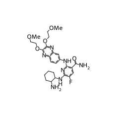 COCCOc1nc2ccc(Nc3nc(NC4CCCCC4N)c(F)cc3C(N)=O)cc2nc1OCCOC